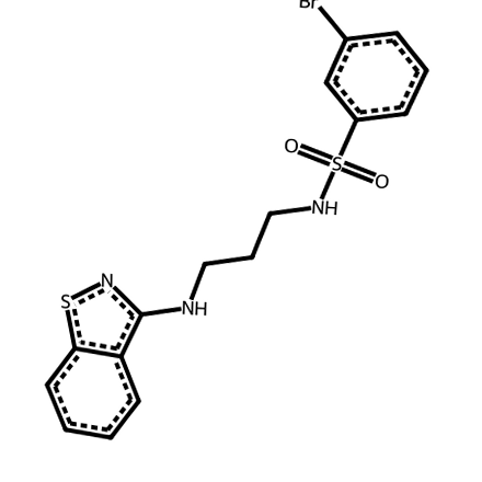 O=S(=O)(NCCCNc1nsc2ccccc12)c1cccc(Br)c1